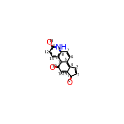 O=C1C=CC2=C3C=Cc4[nH]c(=O)ccc4C3C(=O)C=C12